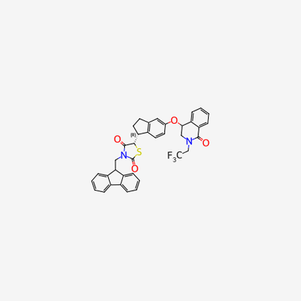 O=C1c2ccccc2C(Oc2ccc3c(c2)CC[C@H]3C2SC(=O)N(CC3c4ccccc4-c4ccccc43)C2=O)CN1CC(F)(F)F